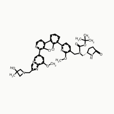 COc1nc(-c2cccc(-c3ccnc(-c4cc(OC)c5nc(CN6CC(C)(O)C6)cn5c4)c3Cl)c2Cl)ccc1CN(C[C@@H]1CCC(=O)N1)C(=O)OC(C)(C)C